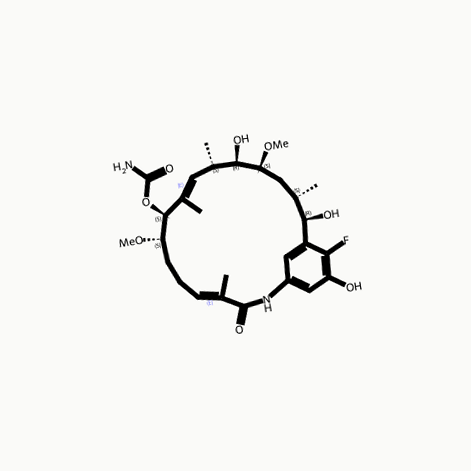 CO[C@H]1C[C@H](C)[C@@H](O)c2cc(cc(O)c2F)NC(=O)/C(C)=C/CC[C@H](OC)[C@@H](OC(N)=O)/C(C)=C/[C@H](C)[C@H]1O